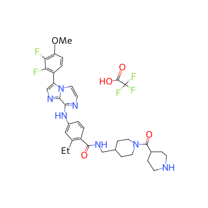 CCc1cc(Nc2nccn3c(-c4ccc(OC)c(F)c4F)cnc23)ccc1C(=O)NCC1CCN(C(=O)C2CCNCC2)CC1.O=C(O)C(F)(F)F